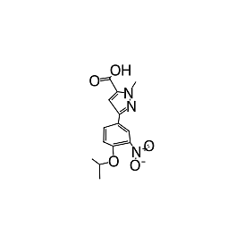 CC(C)Oc1ccc(-c2cc(C(=O)O)n(C)n2)cc1[N+](=O)[O-]